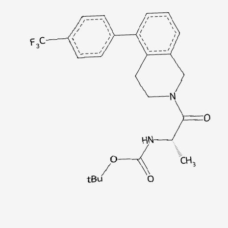 C[C@H](NC(=O)OC(C)(C)C)C(=O)N1CCc2c(cccc2-c2ccc(C(F)(F)F)cc2)C1